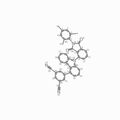 Cc1cc(C)c(N2C(=O)c3cccc(-n4c5ccccc5c5c(-c6cc(C#N)cc(C#N)c6)cccc54)c3C2=O)c(C)c1